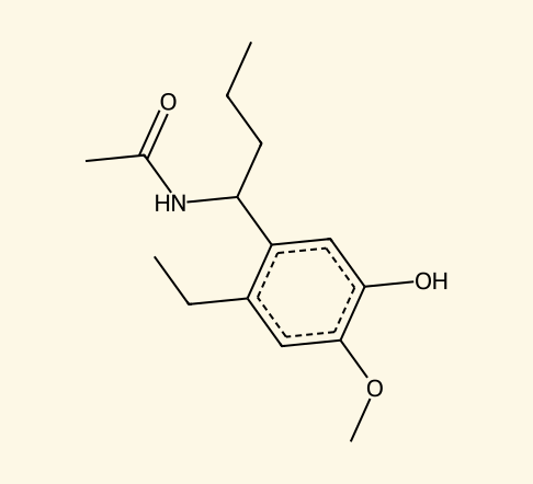 CCCC(NC(C)=O)c1cc(O)c(OC)cc1CC